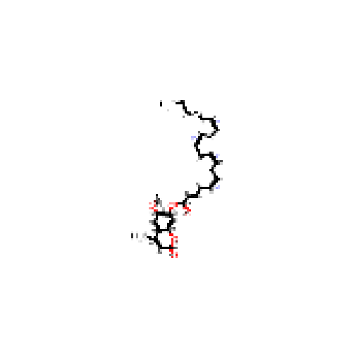 CCCCC/C=C\C/C=C\C/C=C\C/C=C\CCCC(=O)Oc1cc2oc(=O)cc(C)c2cc1OC